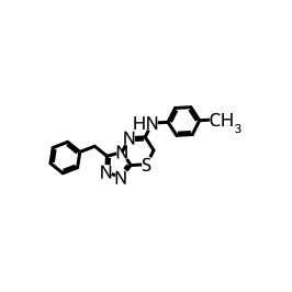 Cc1ccc(NC2=Nn3c(Cc4ccccc4)nnc3SC2)cc1